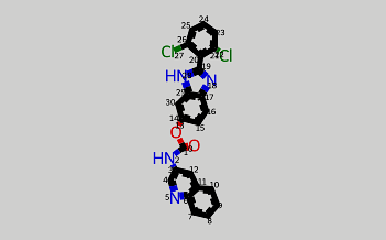 O=C(Nc1cnc2ccccc2c1)Oc1ccc2nc(-c3c(Cl)cccc3Cl)[nH]c2c1